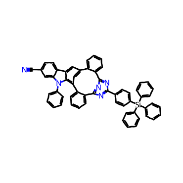 N#Cc1ccc2c3cc4cc(c5ccccc5c5nc(-c6ccc([Si](c7ccccc7)(c7ccccc7)c7ccccc7)cc6)nc(n5)c5ccccc45)c3n(-c3ccccc3)c2c1